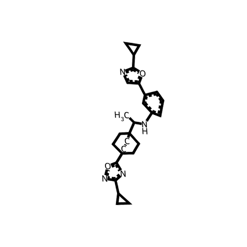 CC(Nc1cccc(-c2cnc(C3CC3)o2)c1)C12CCC(c3nc(C4CC4)no3)(CC1)CC2